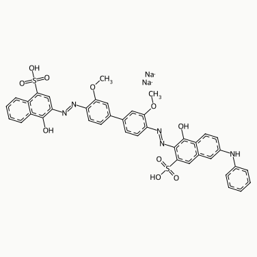 COc1cc(-c2ccc(N=Nc3c(S(=O)(=O)O)cc4cc(Nc5ccccc5)ccc4c3O)c(OC)c2)ccc1N=Nc1cc(S(=O)(=O)O)c2ccccc2c1O.[Na].[Na]